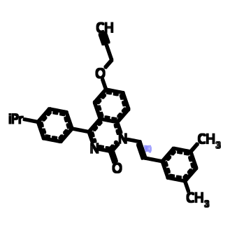 C#CCOc1ccc2c(c1)c(-c1ccc(C(C)C)cc1)nc(=O)n2/C=C/c1cc(C)cc(C)c1